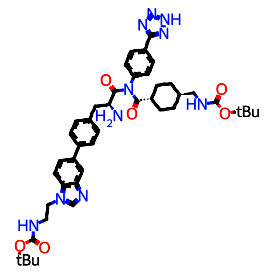 CC(C)(C)OC(=O)NCCn1cnc2cc(-c3ccc(C[C@H](N)C(=O)N(c4ccc(-c5nn[nH]n5)cc4)C(=O)[C@H]4CC[C@H](CNC(=O)OC(C)(C)C)CC4)cc3)ccc21